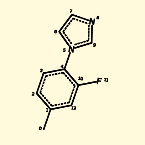 Cc1ccc(-n2ccnc2)c(F)c1